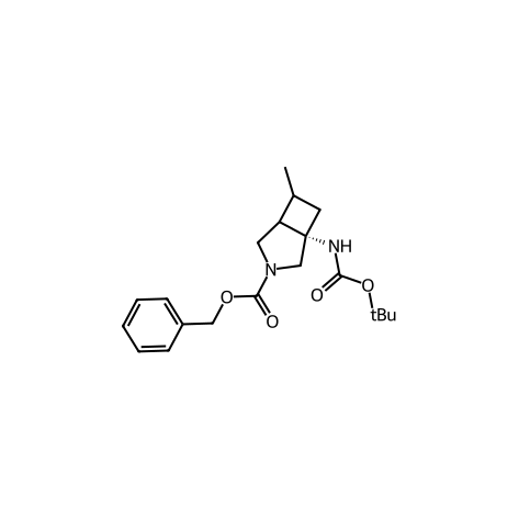 CC1C[C@@]2(NC(=O)OC(C)(C)C)CN(C(=O)OCc3ccccc3)CC12